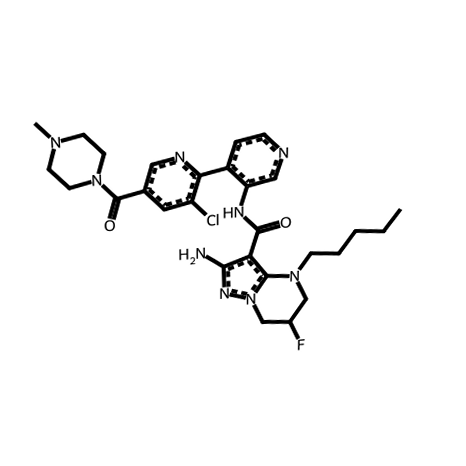 CCCCCN1CC(F)Cn2nc(N)c(C(=O)Nc3cnccc3-c3ncc(C(=O)N4CCN(C)CC4)cc3Cl)c21